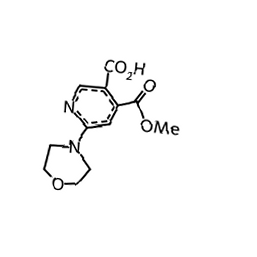 COC(=O)c1cc(N2CCOCC2)ncc1C(=O)O